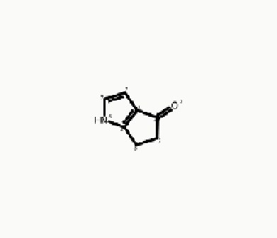 O=C1CCc2[nH]ccc21